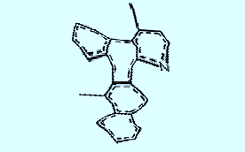 Cc1c2ccccc2cc2c3nccc(C)c3c3ccccc3c12